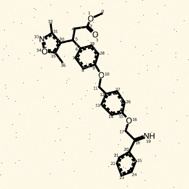 COC(=O)CC(c1ccc(OCc2ccc(OCC(=N)c3ccccc3)cc2)cc1)c1c(C)noc1C